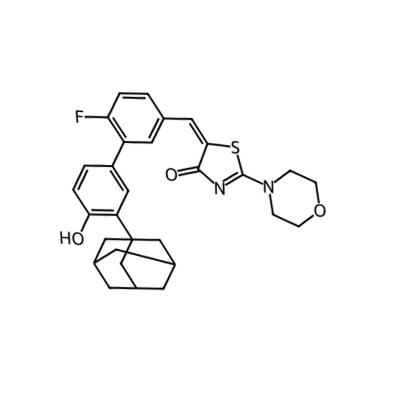 O=C1N=C(N2CCOCC2)SC1=Cc1ccc(F)c(-c2ccc(O)c(C34CC5CC(CC(C5)C3)C4)c2)c1